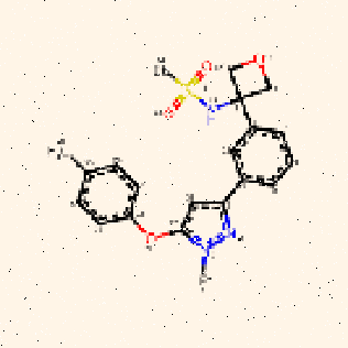 CCn1nc(-c2cccc(C3(NS(=O)(=O)CC)COC3)c2)cc1Oc1ccc(C(F)(F)F)cc1